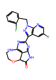 C[C@]12OCCNc3nc(-c4nn(Cc5ccccc5F)c5ncc(F)cc45)nc(c31)NC2=O